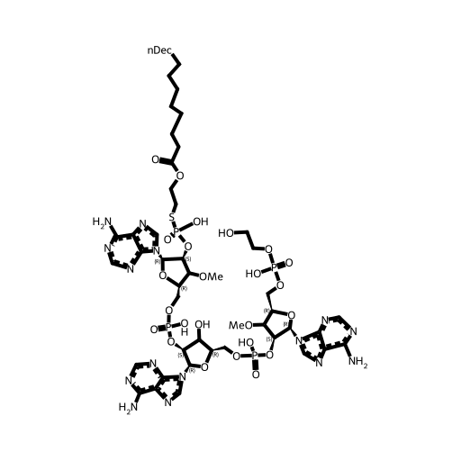 CCCCCCCCCCCCCCCCCC(=O)OCCSP(=O)(O)O[C@H]1C(OC)[C@@H](COP(=O)(O)O[C@H]2C(O)[C@@H](COP(=O)(O)O[C@H]3C(OC)[C@@H](COP(=O)(O)OCCO)O[C@H]3n3cnc4c(N)ncnc43)O[C@H]2n2cnc3c(N)ncnc32)O[C@H]1n1cnc2c(N)ncnc21